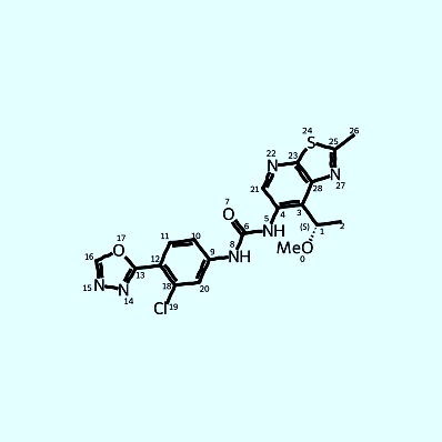 CO[C@@H](C)c1c(NC(=O)Nc2ccc(-c3nnco3)c(Cl)c2)cnc2sc(C)nc12